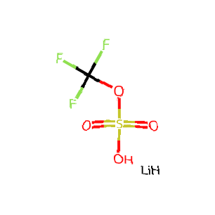 O=S(=O)(O)OC(F)(F)F.[LiH]